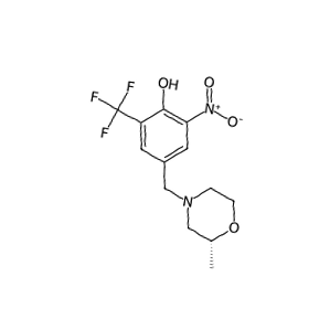 C[C@@H]1CN(Cc2cc([N+](=O)[O-])c(O)c(C(F)(F)F)c2)CCO1